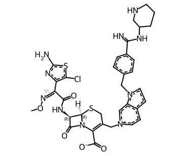 CO/N=C(\C(=O)N[C@@H]1C(=O)N2C(C(=O)[O-])=C(C[n+]3ccc4ccn(Cc5ccc(C(=N)NC6CCCNC6)cc5)c4c3)CS[C@H]12)c1nc(N)sc1Cl